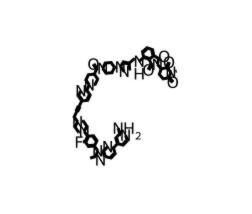 Cc1nc2ccc(-c3ccnc(N)c3)nc2n1-c1ccc(N2CCN(CC#Cc3ccc(N4CCC(C(=O)N5CCC(n6cc(CNc7cccc8c7C(=O)N(C7CCC(=O)N(C)C7=O)C8=O)cn6)CC5)CC4)nc3)CC2)c(F)c1